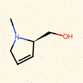 CN1CC=C[C@@H]1CO